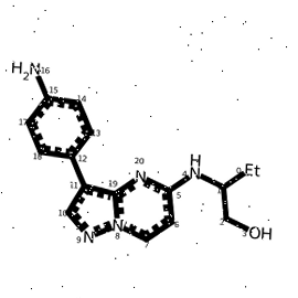 CCC(CO)Nc1ccn2ncc(-c3ccc(N)cc3)c2n1